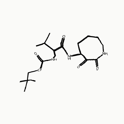 CC(C)C(NC(=O)OCC(C)(C)C)C(=O)NC1CCCCNC(=O)C1=O